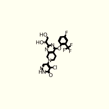 O=c1[nH]ncc(N2CCc3c(nc([C@@H](O)CO)nc3Oc3ccc(F)cc3C(F)(F)F)C2)c1Cl